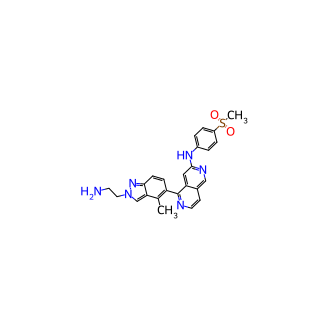 Cc1c(-c2nccc3cnc(Nc4ccc(S(C)(=O)=O)cc4)cc23)ccc2nn(CCN)cc12